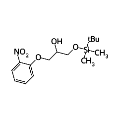 CC(C)(C)[Si](C)(C)OCC(O)COc1ccccc1[N+](=O)[O-]